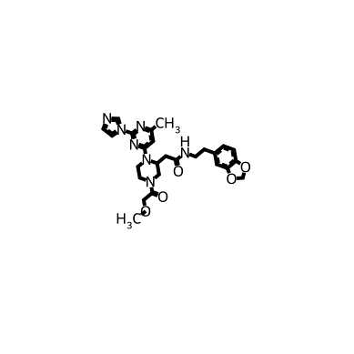 COCC(=O)N1CCN(c2cc(C)nc(-n3ccnc3)n2)C(CC(=O)NCCc2ccc3c(c2)OCO3)C1